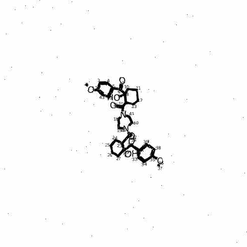 COc1ccc(C(=O)C2(O)CCCCC2C(=O)N2CCN(C(=O)C3CCCCC3(O)C(=O)c3ccc(OC)cc3)CC2)cc1